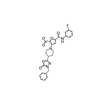 O=C(Nc1cccc(F)c1)c1cc(N2CCC(c3nn(Cc4ccccc4)c(=O)o3)CC2)c([N+](=O)[O-])o1